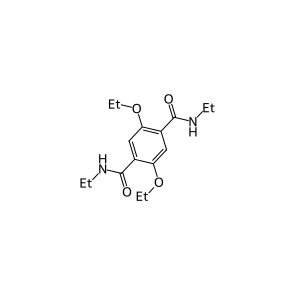 CCNC(=O)c1cc(OCC)c(C(=O)NCC)cc1OCC